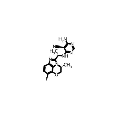 C[C@H](Nc1ncnc(N)c1C#N)c1nc2ccc(F)c3c2n1[C@H](C)CO3